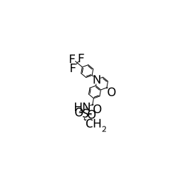 C=CS(=O)(=O)NC(=O)c1ccc2c(c1)c(=O)ccn2-c1ccc(C(F)(F)F)cc1